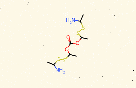 CC(N)SSC(C)OC(=O)OC(C)SSC(C)N